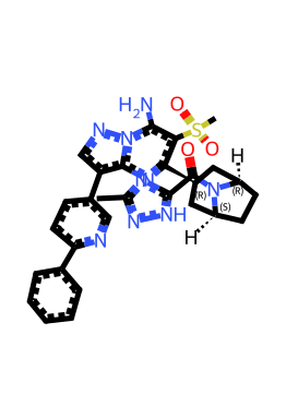 Cc1n[nH]c(C(=O)N2[C@@H]3CC[C@H]2C[C@@H](c2nc4c(-c5ccc(-c6ccccc6)nc5)cnn4c(N)c2S(C)(=O)=O)C3)n1